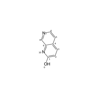 Oc1ccc2ccncc2n1